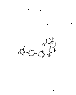 Cc1conc1-c1ccc(-c2ccc(Nc3cnc4c(c3)N3C(=O)CC[C@H]3CO4)nc2)cc1